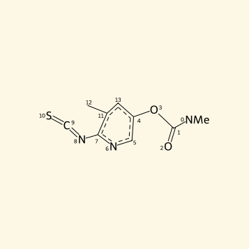 CNC(=O)Oc1cnc(N=C=S)c(C)c1